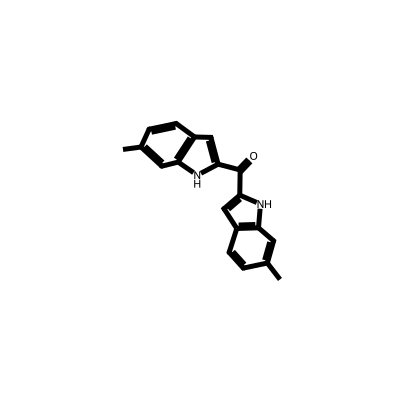 Cc1ccc2cc(C(=O)c3cc4ccc(C)cc4[nH]3)[nH]c2c1